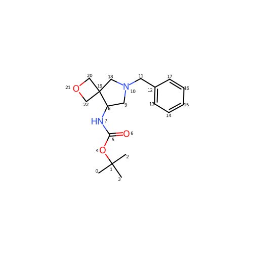 CC(C)(C)OC(=O)NC1CN(Cc2ccccc2)CC12COC2